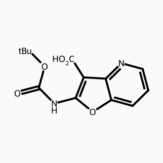 CC(C)(C)OC(=O)Nc1oc2cccnc2c1C(=O)O